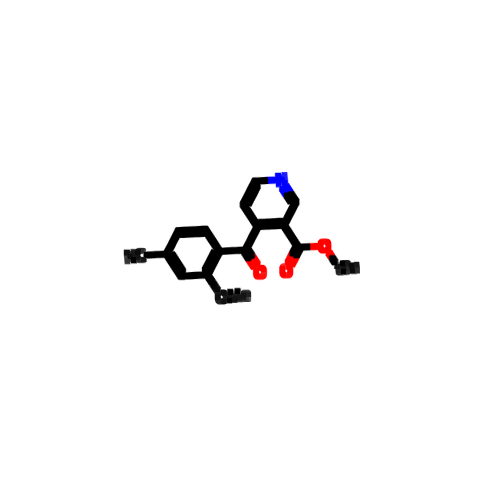 COc1cc(C#N)ccc1C(=O)c1ccncc1C(=O)OC(C)(C)C